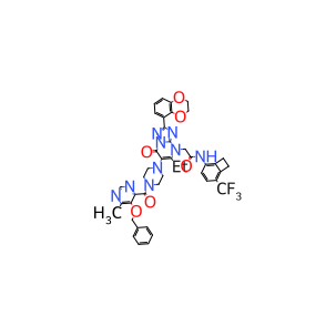 CCc1c(N2CCN(C(=O)c3ncnc(C)c3OCc3ccccc3)CC2)c(=O)n2nc(-c3cccc4c3OCCO4)nc2n1CC(=O)Nc1ccc(C(F)(F)F)c2c1CC2